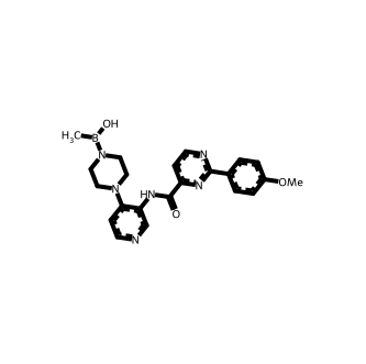 COc1ccc(-c2nccc(C(=O)Nc3cnccc3N3CCN(B(C)O)CC3)n2)cc1